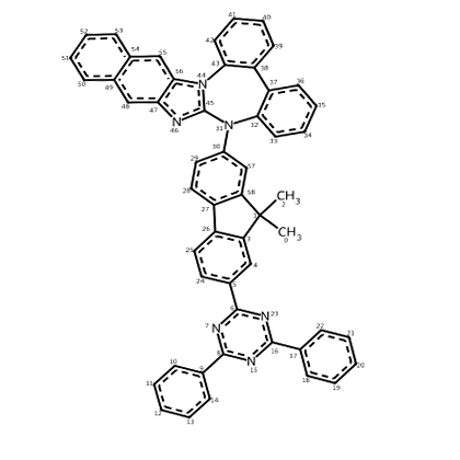 CC1(C)c2cc(-c3nc(-c4ccccc4)nc(-c4ccccc4)n3)ccc2-c2ccc(N3c4ccccc4-c4ccccc4-n4c3nc3cc5ccccc5cc34)cc21